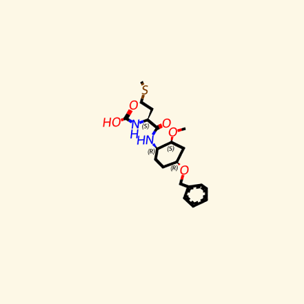 CO[C@H]1C[C@H](OCc2ccccc2)CC[C@H]1NC(=O)[C@H](CCSC)NC(=O)O